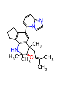 CC(C)=CCC1(C)C(=O)C(C)(C)Nc2c1cc(-c1cccc3nccn13)c1c2CCC1